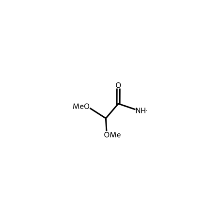 COC(OC)C([NH])=O